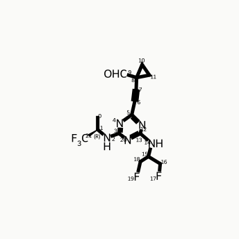 C[C@@H](Nc1nc(C#CC2(C=O)CC2)nc(NC(CF)CF)n1)C(F)(F)F